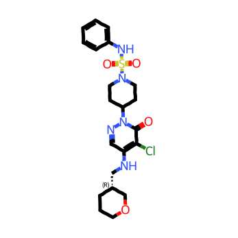 O=c1c(Cl)c(NC[C@H]2CCCOC2)cnn1C1CCN(S(=O)(=O)Nc2ccccc2)CC1